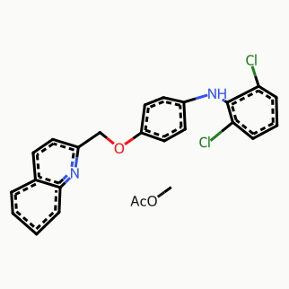 COC(C)=O.Clc1cccc(Cl)c1Nc1ccc(OCc2ccc3ccccc3n2)cc1